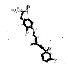 CCO[C@@H](Cc1ccc(OC/C=C(\C)C#CC2(Br)C=CC=C(Br)C2)c(Br)c1)C(=O)O